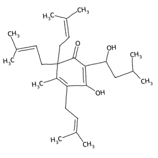 CC(C)=CCC1=C(C)C(CC=C(C)C)(CC=C(C)C)C(=O)C(C(O)CC(C)C)=C1O